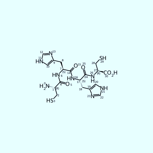 N[C@@H](CS)C(=O)N[C@@H](Cc1c[nH]cn1)C(=O)N[C@@H](Cc1c[nH]cn1)C(=O)N[C@@H](CS)C(=O)O